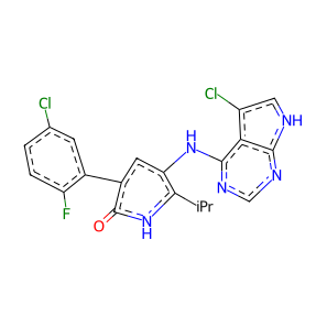 CC(C)c1[nH]c(=O)c(-c2cc(Cl)ccc2F)cc1Nc1ncnc2[nH]cc(Cl)c12